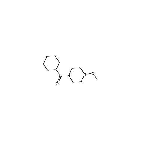 CON1CCN(C(=O)C2CCCCC2)CC1